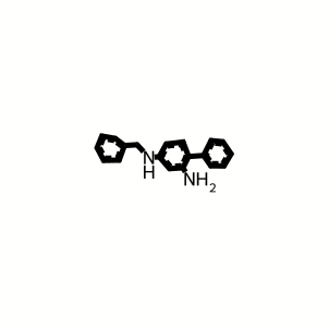 Nc1cc(NCc2ccccc2)ccc1-c1ccccc1